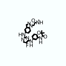 CNC(=O)Cn1ncc2cc(Nc3ncc(F)c(Nc4ccc5c(c4)NC(=O)C(C)(C)O5)n3)ccc21